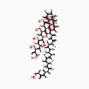 CC(CO)C(C)C(C)C(C)C(C)C(C)C(C)C(C)C(C)C(C)C(C)C(C)C(C)C(C)C(C)C(C)C(C)C(C)C(C)C(C)C(C)C(C)C(C)C(C)C(C)C(C)C(C)C(C)C(C)C(C)C(C)C(C)C(C)C(C)C(I)C(C)C(C)C(C)C(C)C(I)C(C)C(O)C(C)C(O)C(C)C(O)C(C)C(O)C(C)C(O)C(C)C(O)C(C)C(O)C(C)CO